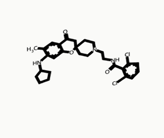 Cc1cc2c(cc1NC1CCCC1)OC1(CCN(CCNC(=O)c3c(Cl)cccc3Cl)CC1)CC2=O